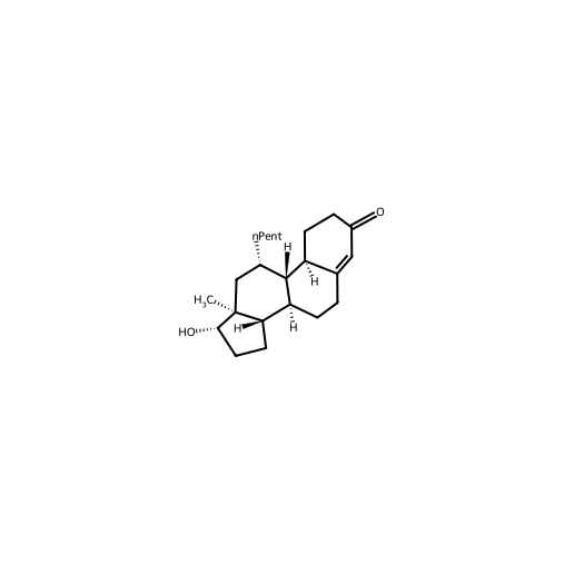 CCCCC[C@H]1C[C@]2(C)[C@@H](O)CC[C@H]2[C@@H]2CCC3=CC(=O)CC[C@@H]3[C@@H]12